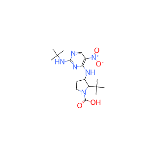 CC(C)(C)Nc1ncc([N+](=O)[O-])c(NC2CCN(C(=O)O)C2C(C)(C)C)n1